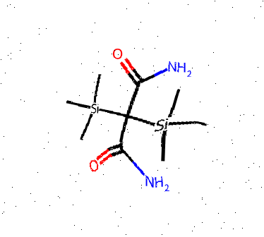 C[Si](C)(C)C(C(N)=O)(C(N)=O)[Si](C)(C)C